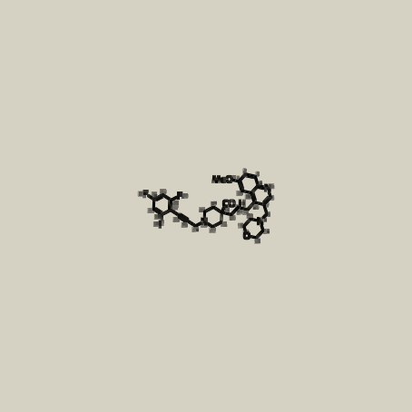 COc1ccc2ncc(CN3CCOCC3)c(CCCC3(C(=O)O)CCN(CC#Cc4c(F)cc(F)cc4F)CC3)c2c1